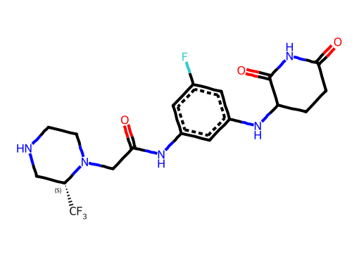 O=C1CCC(Nc2cc(F)cc(NC(=O)CN3CCNC[C@H]3C(F)(F)F)c2)C(=O)N1